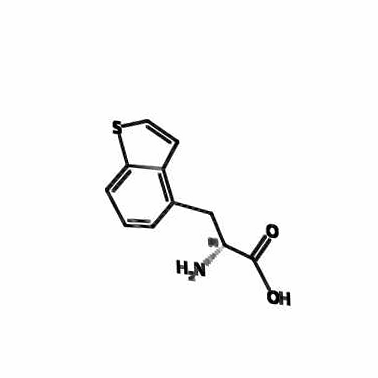 N[C@H](Cc1cccc2sccc12)C(=O)O